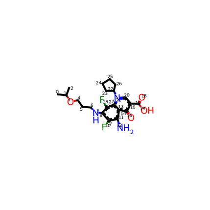 CC(C)OCCCNc1c(F)c(N)c2c(=O)c(C(=O)O)cn(C3CCCC3)c2c1F